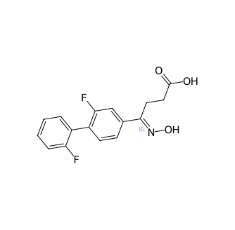 O=C(O)CC/C(=N\O)c1ccc(-c2ccccc2F)c(F)c1